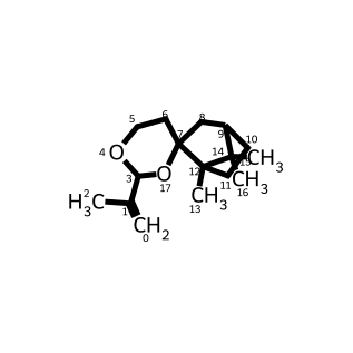 C=C(C)C1OCCC2(CC3CCC2(C)C3(C)C)O1